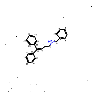 C(CCNCc1ccccc1)=C(c1ccccc1)c1ccccc1